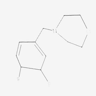 FC1C=CC(CN2CCOCC2)=CC1F